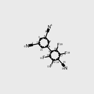 N#Cc1cc(C#N)cc(-c2c(F)c(F)c(C#N)c(F)c2F)c1